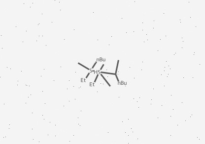 CCCCC(C)[SH](C)(C)(CC)S(C)(CC)CCCC